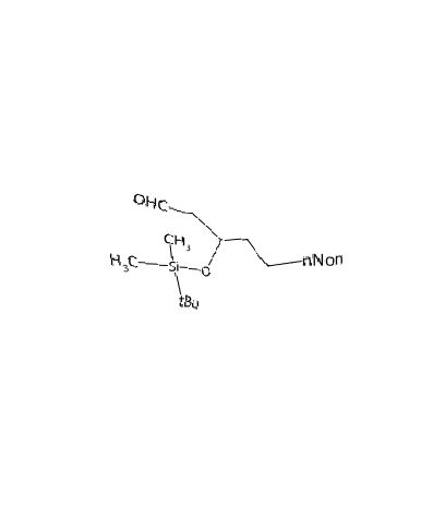 CCCCCCCCCCCC(CC=O)O[Si](C)(C)C(C)(C)C